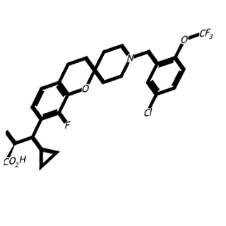 C[C@H](C(=O)O)C(c1ccc2c(c1F)OC1(CC2)CCN(Cc2cc(Cl)ccc2OC(F)(F)F)CC1)C1CC1